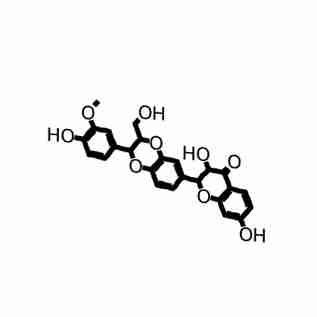 COc1cc(C2Oc3ccc(C4Oc5cc(O)ccc5C(=O)C4O)cc3OC2CO)ccc1O